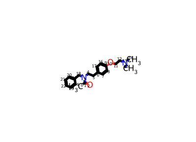 CC(=O)N(CCc1ccc(OCCN(C)C)cc1)Cc1ccccc1